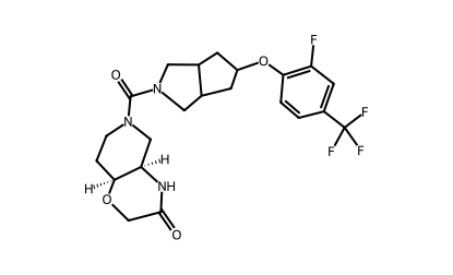 O=C1CO[C@H]2CCN(C(=O)N3CC4CC(Oc5ccc(C(F)(F)F)cc5F)CC4C3)C[C@H]2N1